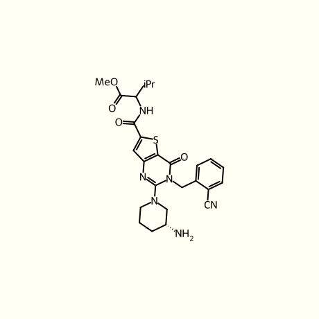 COC(=O)C(NC(=O)c1cc2nc(N3CCC[C@@H](N)C3)n(Cc3ccccc3C#N)c(=O)c2s1)C(C)C